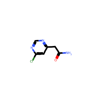 NC(=O)Cc1cc(Cl)ncn1